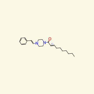 CCCCCCC/C=C/C(=O)N1CCN(C=Cc2ccccc2)CC1